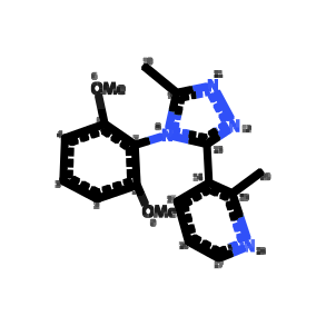 COc1cccc(OC)c1-n1c(C)nnc1-c1cccnc1C